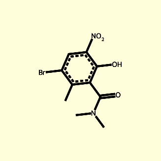 Cc1c(Br)cc([N+](=O)[O-])c(O)c1C(=O)N(C)C